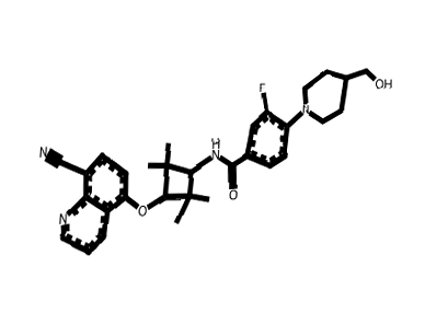 CC1(C)C(NC(=O)c2ccc(N3CCC(CO)CC3)c(F)c2)C(C)(C)C1Oc1ccc(C#N)c2ncccc12